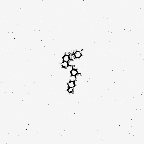 COc1ccc2ncnc(Nc3ccc(Oc4cnc5ccnn5c4)c(C)c3)c2c1O[C@@H]1CCN(C)CC1(F)F